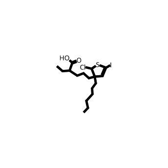 CCCCCCC1(CCCC(CC)C(=O)O)C=C(I)SC1Cl